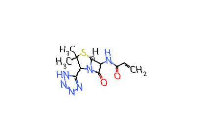 C=CC(=O)NC1C(=O)N2C(c3nnn[nH]3)C(C)(C)S[C@@H]12